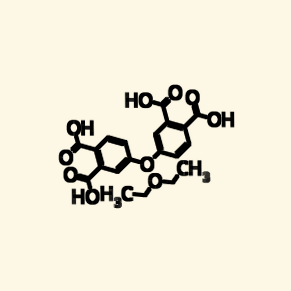 CCOCC.O=C(O)c1ccc(Oc2ccc(C(=O)O)c(C(=O)O)c2)cc1C(=O)O